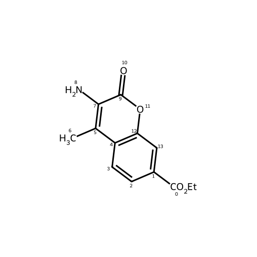 CCOC(=O)c1ccc2c(C)c(N)c(=O)oc2c1